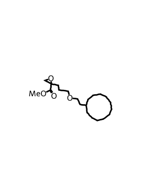 COC(=O)C1(CCCOCCC2CCCCCCCCCCC2)CO1